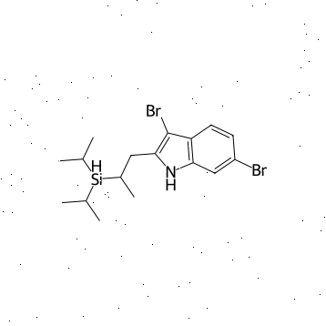 CC(C)[SiH](C(C)C)C(C)Cc1[nH]c2cc(Br)ccc2c1Br